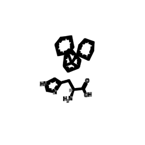 C1=CC2=CC(=C1)C2(c1ccccc1)c1ccccc1.N[C@@H](Cc1c[nH]cn1)C(=O)O